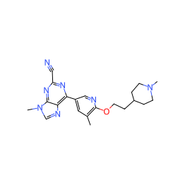 Cc1cc(-c2nc(C#N)nc3c2ncn3C)cnc1OCCC1CCN(C)CC1